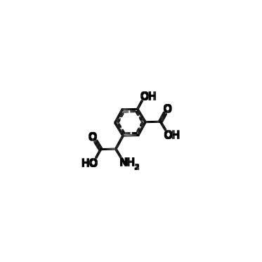 NC(C(=O)O)c1ccc(O)c(C(=O)O)c1